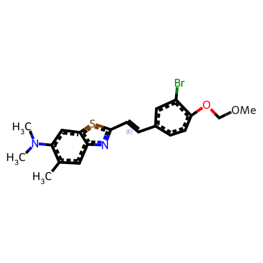 COCOc1ccc(/C=C/c2nc3cc(C)c(N(C)C)cc3s2)cc1Br